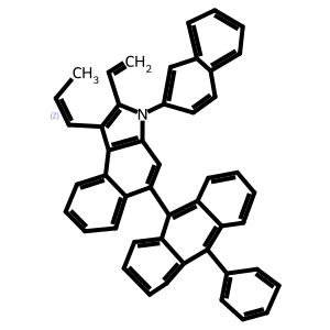 C=Cc1c(/C=C\C)c2c3ccccc3c(-c3c4ccccc4c(-c4ccccc4)c4ccccc34)cc2n1-c1ccc2ccccc2c1